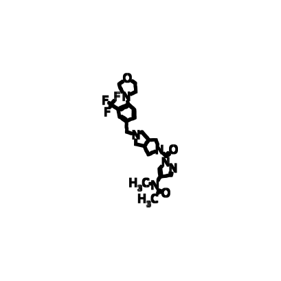 CC(=O)N(C)c1cnn(C(=O)N2CC3CN(Cc4ccc(N5CCOCC5)c(C(F)(F)F)c4)CC3C2)c1